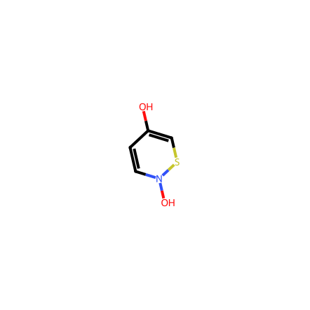 OC1=CSN(O)C=C1